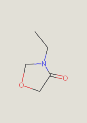 CCN1COCC1=O